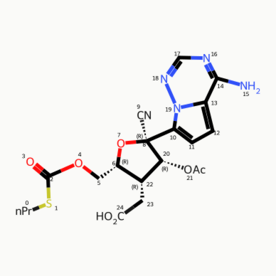 CCCSC(=O)OC[C@@H]1O[C@@](C#N)(c2ccc3c(N)ncnn23)[C@H](OC(C)=O)[C@@H]1CC(=O)O